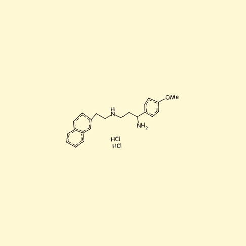 COc1ccc(C(N)CCNCCc2ccc3ccccc3c2)cc1.Cl.Cl